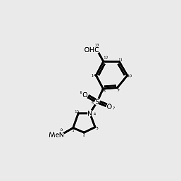 CNC1CCN(S(=O)(=O)c2cccc(C=O)c2)C1